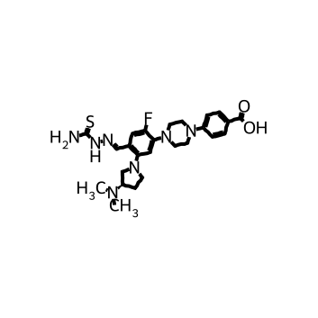 CN(C)[C@@H]1CCN(c2cc(N3CCN(c4ccc(C(=O)O)cc4)CC3)c(F)cc2C=NNC(N)=S)C1